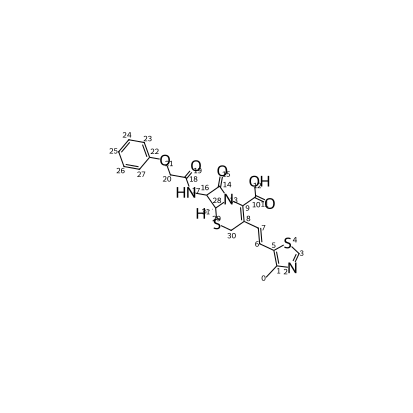 Cc1ncsc1C=CC1=C(C(=O)O)N2C(=O)C(NC(=O)COc3ccccc3)[C@@H]2SC1